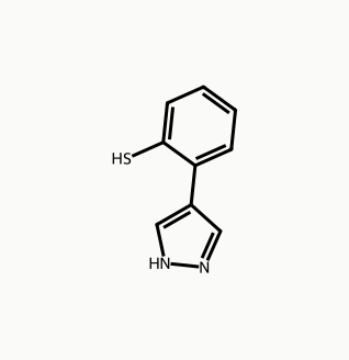 Sc1ccccc1-c1cn[nH]c1